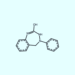 OC1=Nc2ccccc2CN(c2ccccc2)N1